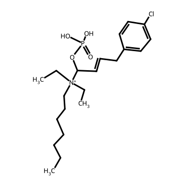 CCCCCCC[N+](CC)(CC)C(/C=C/Cc1ccc(Cl)cc1)OP(=O)(O)O